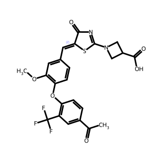 COc1cc(/C=C2\SC(N3CC(C(=O)O)C3)=NC2=O)ccc1Oc1ccc(C(C)=O)cc1C(F)(F)F